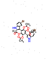 CC(=O)Oc1c(OC(C)=O)c(-c2c[nH]c3ccc(Br)cc23)c(OC(C)=O)c(OC(C)=O)c1-c1c[nH]c2ccc(Br)cc12